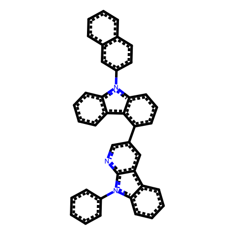 c1ccc(-n2c3ccccc3c3cc(-c4cccc5c4c4ccccc4n5-c4ccc5ccccc5c4)cnc32)cc1